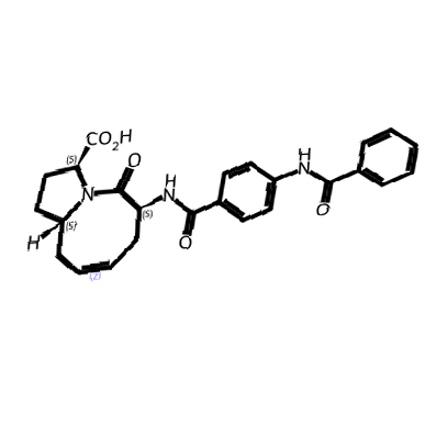 O=C(Nc1ccc(C(=O)N[C@H]2C/C=C\C[C@@H]3CC[C@@H](C(=O)O)N3C2=O)cc1)c1ccccc1